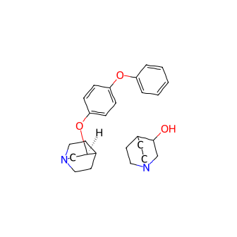 OC1CN2CCC1CC2.c1ccc(Oc2ccc(O[C@@H]3CN4CCC3CC4)cc2)cc1